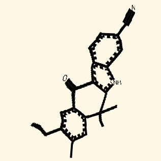 CCc1cc2c(cc1C)C(C)(C)c1[nH]c3cc(C#N)ccc3c1C2=O